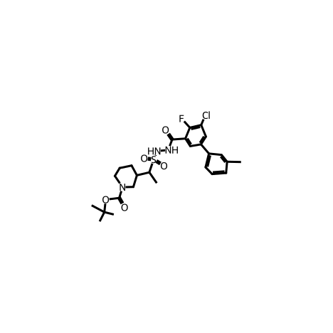 Cc1cccc(-c2cc(Cl)c(F)c(C(=O)NNS(=O)(=O)C(C)C3CCCN(C(=O)OC(C)(C)C)C3)c2)c1